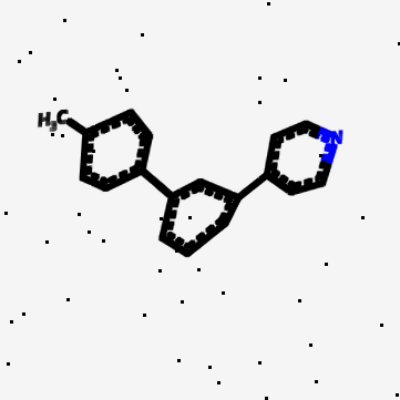 Cc1ccc(-c2cccc(-c3ccncc3)c2)cc1